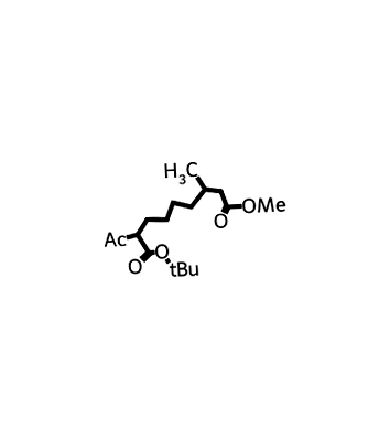 COC(=O)CC(C)CCCCC(C(C)=O)C(=O)OC(C)(C)C